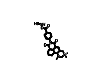 CN1C[N+](C)(C)Cc2cc3c4c(cccc4c21)C(=O)N(c1ccc(C(=O)ONS)cc1)C3=O